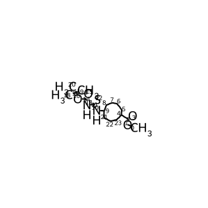 COC(=O)C1CCCCC(NC(=S)NC(=O)OC(C)(C)C)CCC1